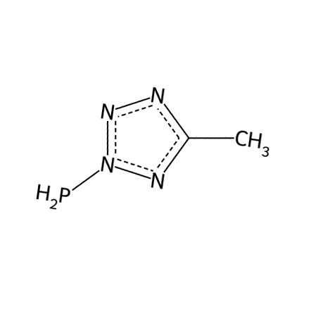 Cc1nnn(P)n1